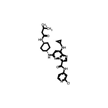 CC(C)CC(=O)N[C@H]1CC[C@H](Nc2cc(NC3CC3)c3ncc(C(=O)Nc4ccnc(Cl)c4)n3n2)CC1